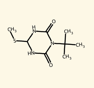 CSC1NC(=O)N(C(C)(C)C)C(=O)N1